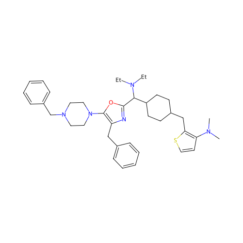 CCN(CC)C(c1nc(Cc2ccccc2)c(N2CCN(Cc3ccccc3)CC2)o1)C1CCC(Cc2sccc2N(C)C)CC1